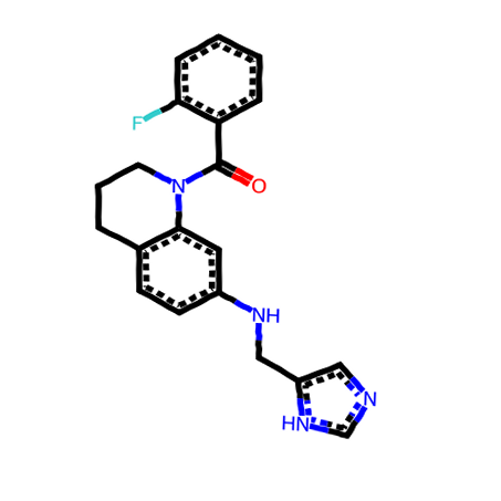 O=C(c1ccccc1F)N1CCCc2ccc(NCc3cnc[nH]3)cc21